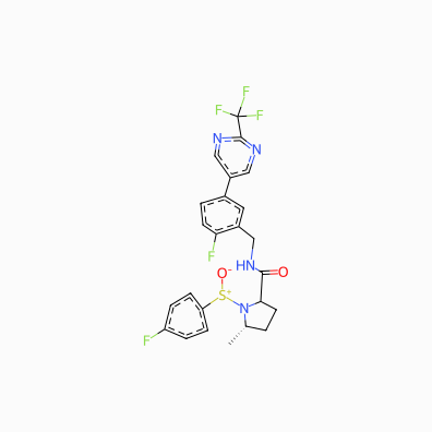 C[C@H]1CCC(C(=O)NCc2cc(-c3cnc(C(F)(F)F)nc3)ccc2F)N1[S+]([O-])c1ccc(F)cc1